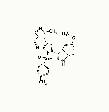 COc1ccc2[nH]cc(-c3cc4c(n3S(=O)(=O)c3ccc(C)cc3)N=CC3C=NN(C)C43)c2c1